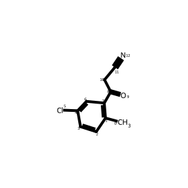 Cc1ccc(Cl)cc1C(=O)CC#N